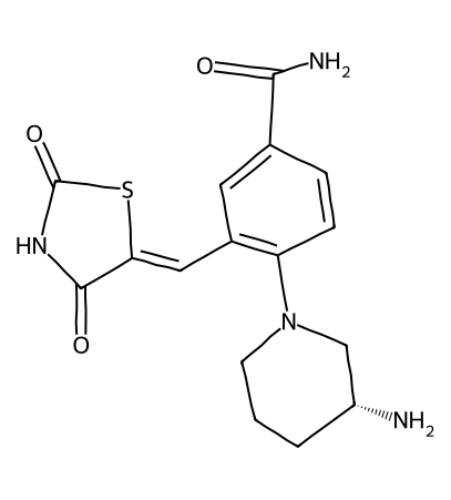 NC(=O)c1ccc(N2CCC[C@@H](N)C2)c(/C=C2\SC(=O)NC2=O)c1